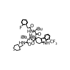 CCC(C)[C@H](NC(=O)Cc1ccccc1F)C(=O)N[C@]1(C(=O)NC(C(=O)NCC2CCSCC2)[C@@H](C)CC)CCc2[nH]c3c(C(F)(F)F)cccc3c2C1